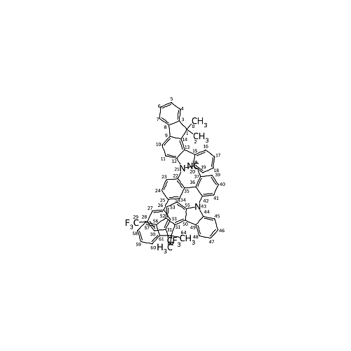 CC1(C)c2ccccc2-c2ccc3c(c21)c1ccccc1n3-c1ccc(-c2cc(C(F)(F)F)cc(C(F)(F)F)c2)cc1-c1c(C#N)cccc1-n1c2ccccc2c2c3c(ccc21)-c1ccccc1C3(C)C